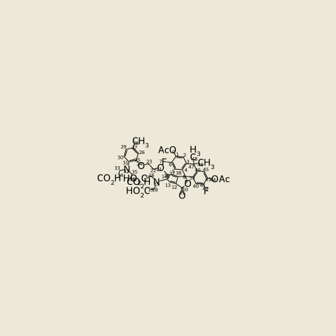 CC(=O)Oc1cc2c(cc1F)C1(OC(=O)c3cc(N(CC(=O)O)CC(=O)O)c(OCCOc4cc(C)ccc4N(CC(=O)O)CC(=O)O)cc31)c1cc(F)c(OC(C)=O)cc1C2(C)C